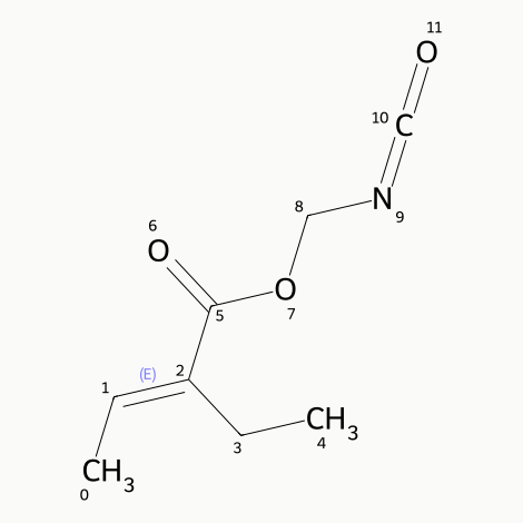 C/C=C(\CC)C(=O)OCN=C=O